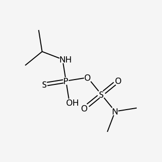 CC(C)NP(O)(=S)OS(=O)(=O)N(C)C